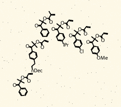 C=C(C)C(=O)OC(C)(C)C(=O)c1ccccc1.C=CC(=O)OC(C)(C)C(=O)c1ccc(C(C)C)cc1.C=CC(=O)OC(C)(C)C(=O)c1ccc(CCCCCCCCCCCC)cc1.C=CC(=O)OC(C)(C)C(=O)c1ccc(Cl)cc1.C=CC(=O)OC(C)(C)C(=O)c1ccc(OC)cc1.C=CC(=O)OC(C)(C)C(=O)c1ccccc1